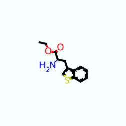 CCOC(=O)[C@@H](N)Cc1csc2ccccc12